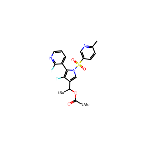 CNC(=O)OC(c1cn(S(=O)(=O)c2ccc(C)nc2)c(-c2cccnc2F)c1F)C(C)(C)C